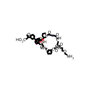 NCCOCCNC(=O)[C@@H]1CCNC(=O)/C=C/C(=O)N2CCC[C@](Cc3ccccc3)(C2)C(=O)N[C@@H](Cc2ccc(-c3ccc4occ(CC(=O)O)c4c3)cc2)C(=O)NCc2ccccc2CC(=O)N1